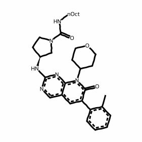 CCCCCCCCNC(=O)N1CC[C@H](Nc2ncc3cc(-c4ccccc4C)c(=O)n(C4CCOCC4)c3n2)C1